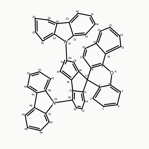 c1ccc2c(c1)Oc1c(ccc3ccccc13)C21c2cc(-n3c4ccccc4c4ccccc43)ccc2-c2c(-n3c4ccccc4c4ccccc43)cccc21